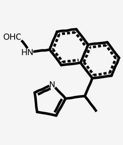 CC(C1=CCC=N1)c1cccc2ccc(NC=O)cc12